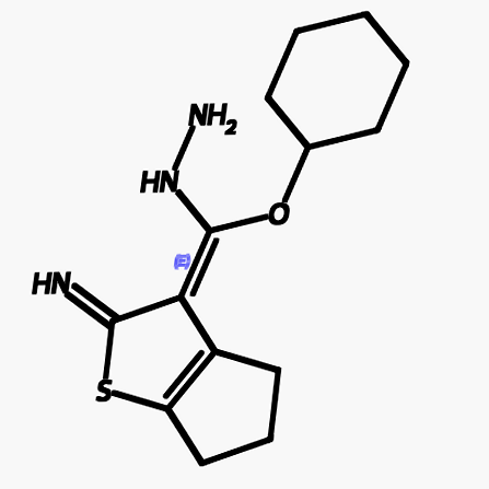 N=C1SC2=C(CCC2)/C1=C(/NN)OC1CCCCC1